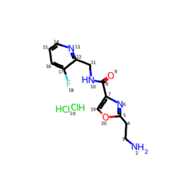 Cl.Cl.NCCc1nc(C(=O)NCc2ncccc2F)co1